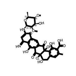 CO[C@@H]1[C@@H](O)[C@@H](OC)[C@@H](NC2=CC(=N)c3c(cc4c(c3O)C(=O)C3(OC)C(O)Cc5cc(C)c(C(=O)O)c(O)c5C3(O)C4=O)C2=O)O[C@H]1C